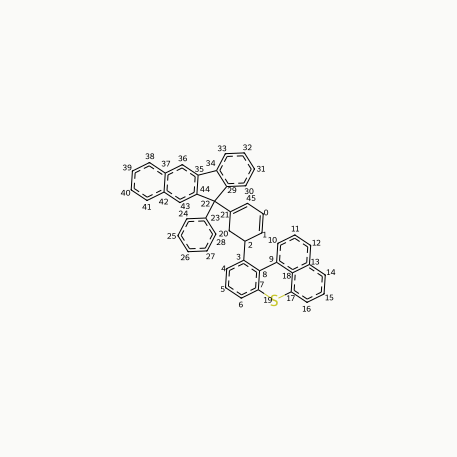 C1=CC(c2cccc3c2-c2cccc4cccc(c24)S3)CC(C2(c3ccccc3)c3ccccc3-c3cc4ccccc4cc32)=C1